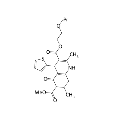 COC(=O)C1C(=O)C2=C(CC1C)NC(C)=C(C(=O)OCCOC(C)C)C2c1cccs1